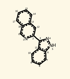 [c]1nc(-c2n[nH]c3ccccc23)cc2ccccc12